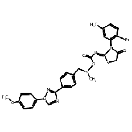 Cc1ccc(C(C)C)c(N2C(=O)CS/C2=N\C(=O)ON(C)Cc2ccc(-c3ncn(-c4ccc(OC(F)(F)F)cc4)n3)cc2)c1